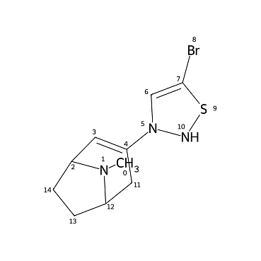 CN1C2C=C(N3C=C(Br)SN3)CC1CC2